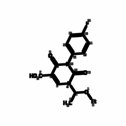 CCOC(C)n1cc(C(=O)O)c(=O)n(-c2ccc(F)cc2)c1=O